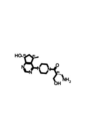 C[C@@H]1C[C@@H](O)c2ncnc(N3CCN(C(=O)[C@H](CN)CO)CC3)c21